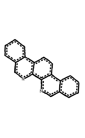 c1ccc2c(c1)cnc1c2ccc2c3ccccc3cnc21